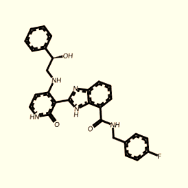 O=C(NCc1ccc(F)cc1)c1cccc2nc(-c3c(NC[C@H](O)c4ccccc4)cc[nH]c3=O)[nH]c12